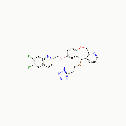 Fc1cc2ccc(COc3ccc4c(c3)C(SCCc3nnn[nH]3)c3cccnc3CO4)nc2cc1F